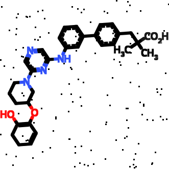 CC(C)(Cc1ccc(-c2cccc(Nc3cncc(N4CCCC(OC5=C(O)CCC=C5)C4)n3)c2)cc1)C(=O)O